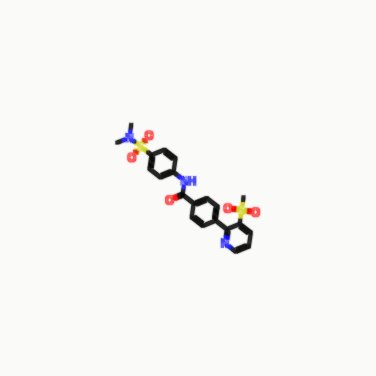 CN(C)S(=O)(=O)c1ccc(NC(=O)c2ccc(-c3ncccc3S(C)(=O)=O)cc2)cc1